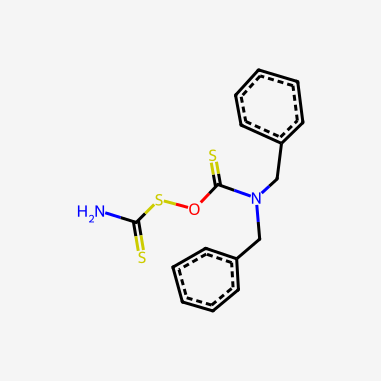 NC(=S)SOC(=S)N(Cc1ccccc1)Cc1ccccc1